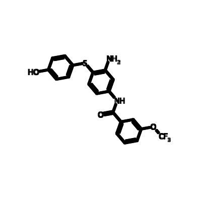 Nc1cc(NC(=O)c2cccc(OC(F)(F)F)c2)ccc1Sc1ccc(O)cc1